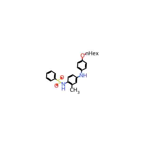 CCCCCCOc1ccc(Nc2ccc(NS(=O)(=O)c3ccccc3)c(C)c2)cc1